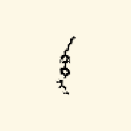 CCCCCCc1cnc(-c2ccc(OC(=O)C(C)COC)cc2)nc1